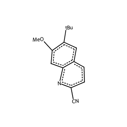 COc1cc2nc(C#N)ccc2cc1C(C)(C)C